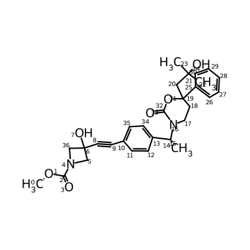 COC(=O)N1CC(O)(C#Cc2ccc([C@H](C)N3CCC(CC(C)(C)O)(c4ccccc4)OC3=O)cc2)C1